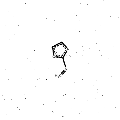 C=Nc1ncco1